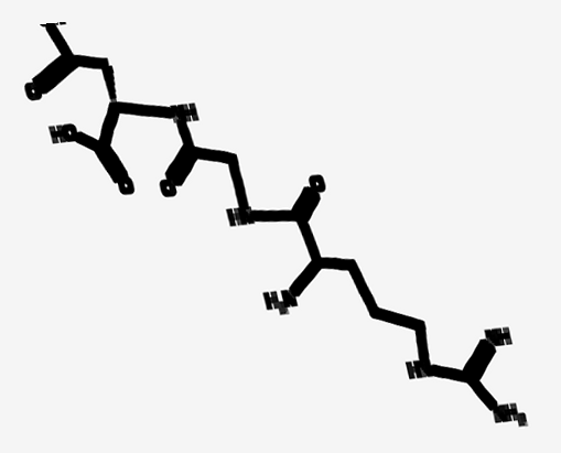 N=C(N)NCCCC(N)C(=O)NCC(=O)N[C@@H](CC(=O)O)C(=O)O